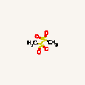 CS(=O)(=O)S(C)(=O)=O